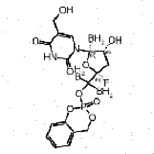 BC(B)(OP1(=O)OCc2ccccc2O1)[C@]1(F)C[C@@H](O)[C@](B)(n2cc(CO)c(=O)[nH]c2=O)O1